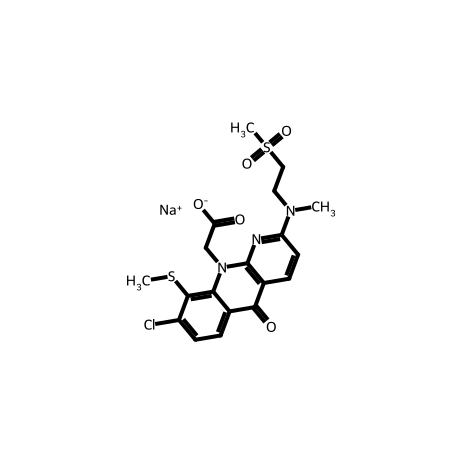 CSc1c(Cl)ccc2c(=O)c3ccc(N(C)CCS(C)(=O)=O)nc3n(CC(=O)[O-])c12.[Na+]